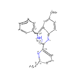 C=C(/N=C1/C=CC(OC)=C/C1=C(/N)c1ccccc1)c1cccc(C)n1